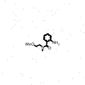 COCCN(C)C(=O)c1ccccc1N